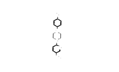 N#Cc1ccc(N2CCN(c3ccc(N)cc3)CC2)nc1